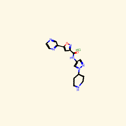 Cl.O=C(Nc1cnn(C2CCNCC2)c1)c1cc(-c2cnccn2)on1